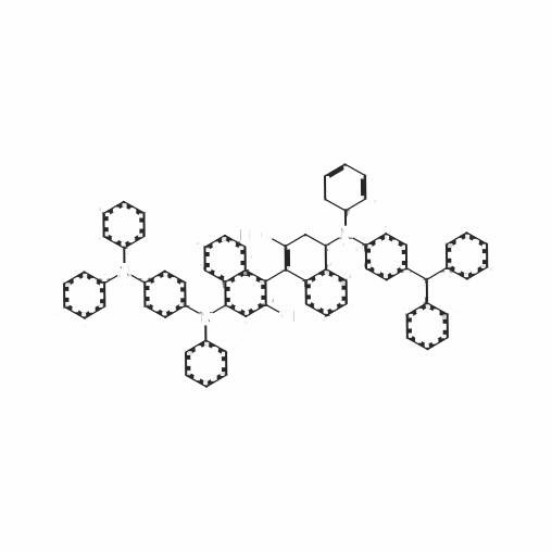 CC1=C(c2c(C)cc(N(c3ccccc3)c3ccc(N(c4ccccc4)c4ccccc4)cc3)c3ccccc23)c2ccccc2C(N(c2ccc(C(c3ccccc3)c3ccccc3)cc2)C2C=CC=CC2)C1